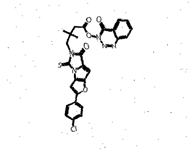 CC(C)(CC(=O)On1nnc2ccccc2c1=O)CN1C(=O)c2cc3oc(-c4ccc(Cl)cc4)cc3n2C1=S